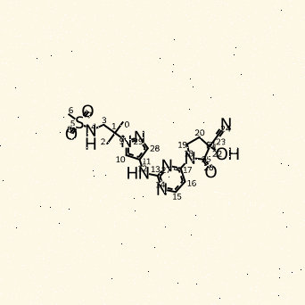 CC(C)(CNS(C)(=O)=O)n1cc(Nc2nccc(N3CC[C@](O)(C#N)C3=O)n2)cn1